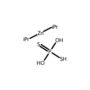 C[CH](C)[Zn][CH](C)C.OP(O)(=S)S